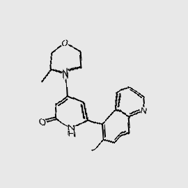 Cc1ccc2ncccc2c1-c1cc(N2CCOCC2C)cc(=O)[nH]1